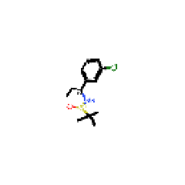 CC[C@H](N[S+]([O-])C(C)(C)C)c1cccc(Cl)c1